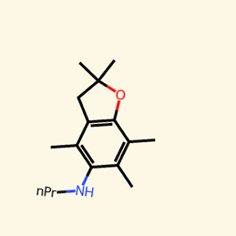 CCCNc1c(C)c(C)c2c(c1C)CC(C)(C)O2